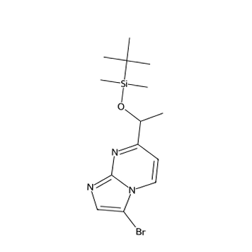 CC(O[Si](C)(C)C(C)(C)C)c1ccn2c(Br)cnc2n1